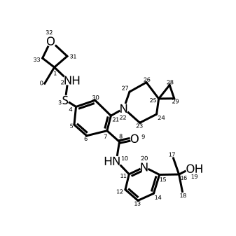 CC1(NSc2ccc(C(=O)Nc3cccc(C(C)(C)O)n3)c(N3CCC4(CC3)CC4)c2)COC1